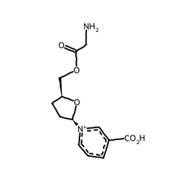 NCC(=O)OC[C@@H]1CC[C@H]([n+]2cccc(C(=O)O)c2)O1